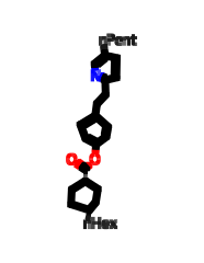 CCCCCC[C@H]1CC[C@H](C(=O)Oc2ccc(CCc3ccc(CCCCC)cn3)cc2)CC1